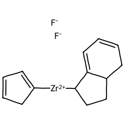 C1=CC[C]([Zr+2][CH]2CCC3CC=CC=C32)=C1.[F-].[F-]